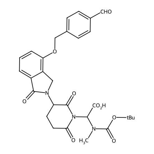 CN(C(=O)OC(C)(C)C)C(C(=O)O)N1C(=O)CCC(N2Cc3c(OCc4ccc(C=O)cc4)cccc3C2=O)C1=O